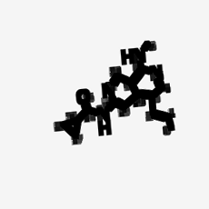 CC=Cc1cnc(NC)c2cnc(NC(=O)C3CC3)cc12